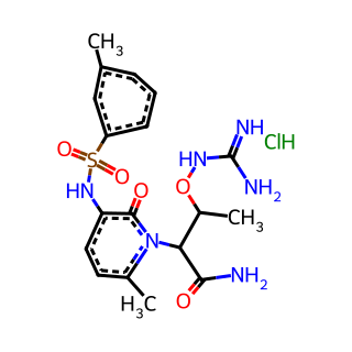 Cc1cccc(S(=O)(=O)Nc2ccc(C)n(C(C(N)=O)C(C)ONC(=N)N)c2=O)c1.Cl